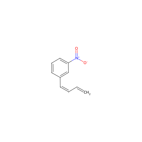 C=C/[C]=C\c1cccc([N+](=O)[O-])c1